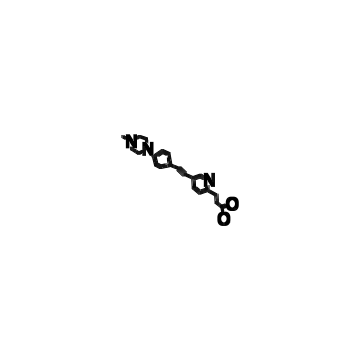 COC(=O)/C=C/c1ccc(C#Cc2ccc(N3CCN(C)CC3)cc2)cn1